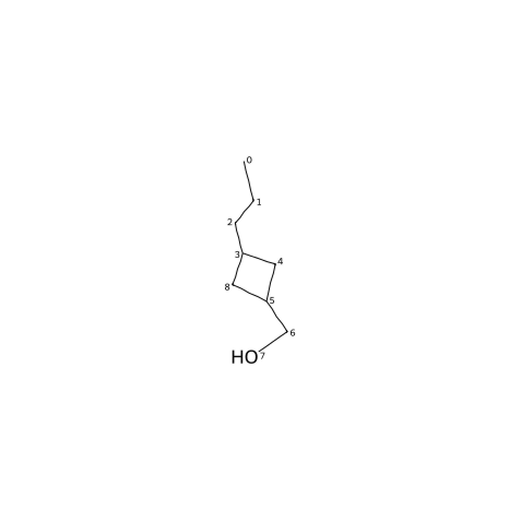 CCCC1CC(CO)C1